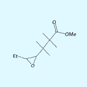 CCC1OC1C(C)(C)C(C)(C)C(=O)OC